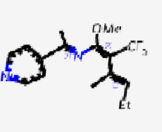 CC/C=C(C)/C(=C(\N=C(/C)c1ccncc1)OC)C(F)(F)F